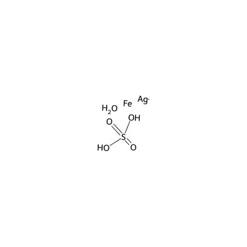 O.O=S(=O)(O)O.[Ag].[Fe]